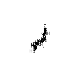 C#CCn1cc(-c2cnc(C(=O)Nc3ccc(C(=O)N4CCN(C(=O)NC5CC6(CNC6)C5)CC4)c(Cl)c3)n2C)c(C(F)(F)F)n1